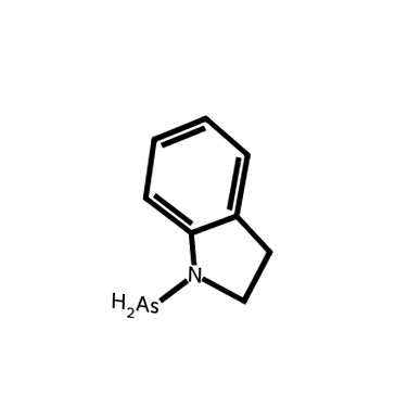 [AsH2]N1CCc2ccccc21